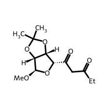 CCC(=O)CC(=O)[C@@H]1O[C@@H](OC)[C@@H]2OC(C)(C)O[C@@H]21